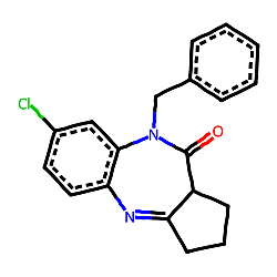 O=C1C2CCCC2=Nc2ccc(Cl)cc2N1Cc1ccccc1